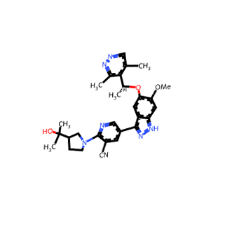 COc1cc2[nH]nc(-c3cnc(N4CCC(C(C)(C)O)C4)c(C#N)c3)c2cc1O[C@H](C)c1c(C)cnnc1C